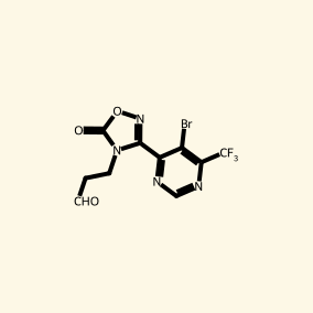 O=CCCn1c(-c2ncnc(C(F)(F)F)c2Br)noc1=O